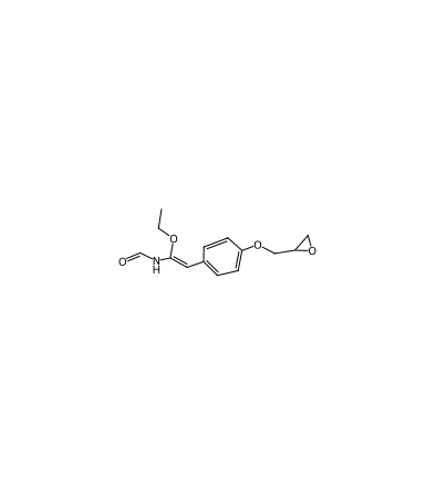 CCOC(=Cc1ccc(OCC2CO2)cc1)NC=O